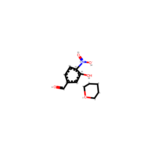 C1CCOCC1.O=Cc1ccc([N+](=O)[O-])c(O)c1